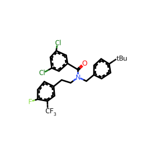 CC(C)(C)c1ccc(CN(CCc2ccc(F)c(C(F)(F)F)c2)C(=O)c2cc(Cl)cc(Cl)c2)cc1